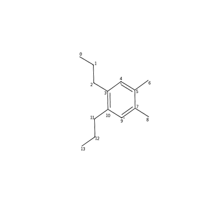 CCCc1[c]c(C)c(C)[c]c1CCC